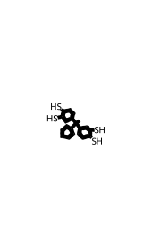 CC(c1ccccc1)(c1ccc(S)c(S)c1)c1ccc(S)c(S)c1